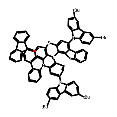 CC(C)(C)c1ccc2c(c1)c1cc(C(C)(C)C)ccc1n2-c1ccc2c(c1)N(c1ccccc1-c1ccccc1)c1cc(-n3c4ccccc4c4ccccc43)cc3c1B2c1c(cc(-n2c4ccc(C(C)(C)C)cc4c4cc(C(C)(C)C)ccc42)c2c1sc1ccccc12)S3